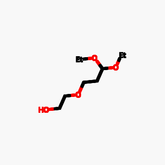 CCOC(CCOCCO)OCC